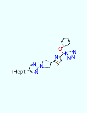 CCCCCCCc1cnc(N2CCC(c3nc(C(Oc4ccccc4)n4cnnn4)cs3)CC2)nc1